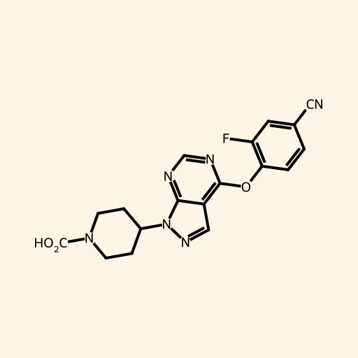 N#Cc1ccc(Oc2ncnc3c2cnn3C2CCN(C(=O)O)CC2)c(F)c1